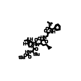 CN(C)C(=O)[C@@H](NC(=O)CNC(=O)C(=O)C(CCC1CC1)NC(=O)[C@@H]1[C@@H]2[C@H](CN1C(=O)[C@@H](NC(=O)OC(C)(C)C)C(C)(C)C)C2(C)C)c1ccccc1